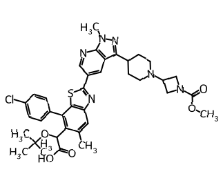 COC(=O)N1CC(N2CCC(c3nn(C)c4ncc(-c5nc6cc(C)c(C(OC(C)(C)C)C(=O)O)c(-c7ccc(Cl)cc7)c6s5)cc34)CC2)C1